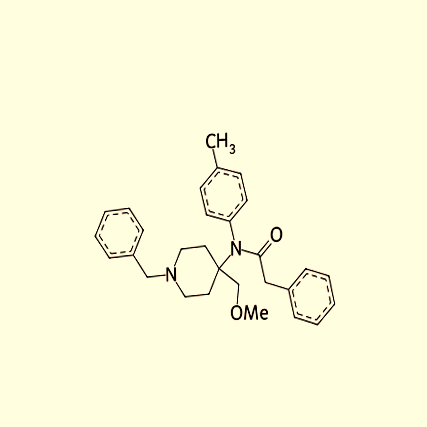 COCC1(N(C(=O)Cc2ccccc2)c2ccc(C)cc2)CCN(Cc2ccccc2)CC1